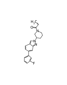 C=CC(=O)N1CCCC(n2cc3ccc(-c4cccc(F)c4)cc3n2)C1